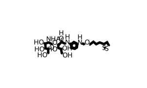 CC(=O)NC1C(OC(C(O)CNc2cccc(NCOCCCCC3CCSS3)c2)C(O)C(O)CO)OC(CO)C(O)C1O